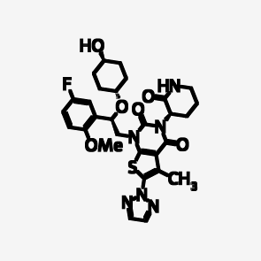 COc1ccc(F)cc1[C@H](Cn1c(=O)n([C@@H]2CCCNC2=O)c(=O)c2c(C)c(-n3nccn3)sc21)O[C@H]1CC[C@H](O)CC1